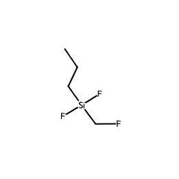 CCC[Si](F)(F)CF